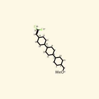 COCC1CCC(C2CCC(C3CCC(C=C(F)F)CC3)CC2)CC1